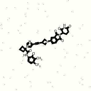 Cc1c(C(F)(F)F)ccc(NC(=O)C2(n3cnc(C#CC4CN(c5ccc6c(c5)C(=O)N(C5CCC(=O)NC5=O)C6=O)C4)c3)CCC2)c1Cl